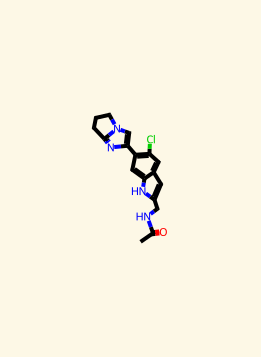 CC(=O)NCc1cc2cc(Cl)c(-c3cn4c(n3)CCC4)cc2[nH]1